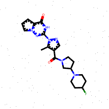 Cc1c(C(=O)N2CCC(N3CCC(F)CC3)C2)cnn1-c1nn2cccc2c(=O)[nH]1